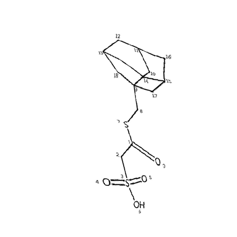 O=C(CS(=O)(=O)O)SCC12CC3CC(CC(C3)C1)C2